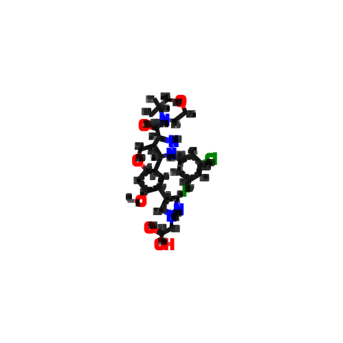 COc1cc2c(cc1-c1cnn(CC(=O)O)c1)C1C(CO2)C(C(=O)N2CCOCC2(C)C)=NN1c1cc(F)cc(Cl)c1